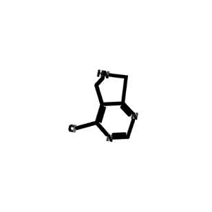 Clc1ncnc2c1CNC2